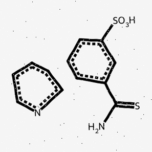 NC(=S)c1cccc(S(=O)(=O)O)c1.c1ccncc1